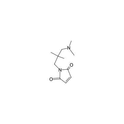 CN(C)CC(C)(C)CN1C(=O)C=CC1=O